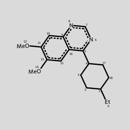 [CH2]CC1CCC(c2ncnc3cc(OC)c(OC)cc23)CC1